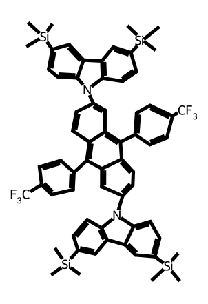 C[Si](C)(C)c1ccc2c(c1)c1cc([Si](C)(C)C)ccc1n2-c1ccc2c(-c3ccc(C(F)(F)F)cc3)c3cc(-n4c5ccc([Si](C)(C)C)cc5c5cc([Si](C)(C)C)ccc54)ccc3c(-c3ccc(C(F)(F)F)cc3)c2c1